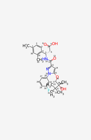 Cc1ccc([C@H](CC(=O)O)NC(=O)c2cc(OC[C@](C)(O)C(C)(C)C)n(-c3cccc(F)c3)n2)c(C)c1